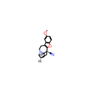 COc1ccc2oc3c(c2c1)CCN1C[C@@H]2C[C@H]1[C@@]3(C#N)C2